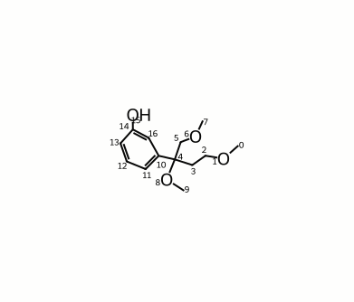 COCCC(COC)(OC)c1cccc(O)c1